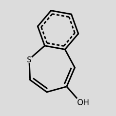 OC1=Cc2ccccc2SC=C1